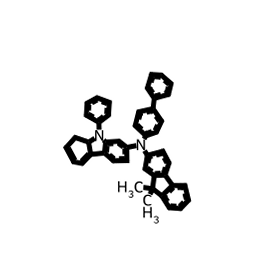 CC1(C)c2ccccc2-c2ccc(N(c3ccc(-c4ccccc4)cc3)c3ccc4c(c3)N(c3ccccc3)C3CC=CC=C43)cc21